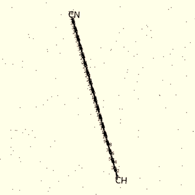 C#CC#CC#CC#CC#CC#CC#CC#CC#CC#CC#CC#CC#CC#CC#CC#CC#CC#CC#CC#N